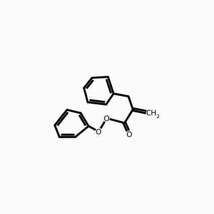 C=C(Cc1ccccc1)C(=O)OOc1ccccc1